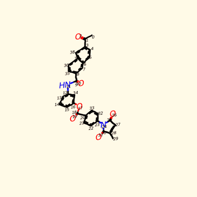 CC(=O)c1ccc2cc(C(=O)Nc3cccc(OC(=O)c4ccc(N5C(=O)C=C(C)C5=O)cc4)c3)ccc2c1